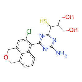 Nc1nc(-c2c(Cl)cc3c4c(cccc24)COC3)nc(C(S)C(CO)CO)n1